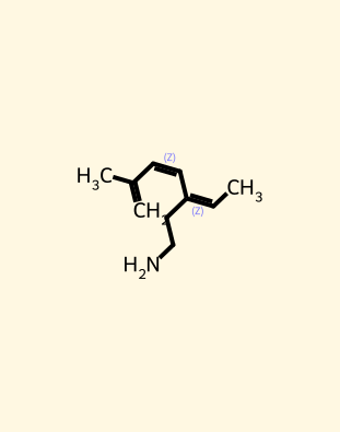 C=C(C)/C=C\C(=C/C)CCN